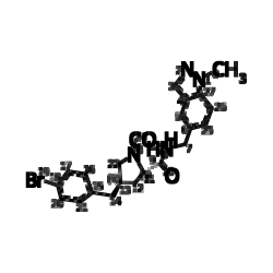 Cn1ncc2cc(CNC(=O)[C@@H]3C[C@@H](Cc4ccc(Br)cc4)CN3C(=O)O)ccc21